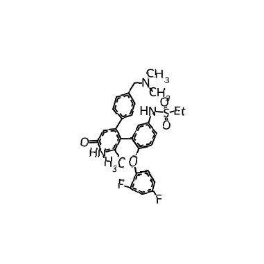 CCS(=O)(=O)Nc1ccc(Oc2ccc(F)cc2F)c(-c2c(-c3ccc(CN(C)C)cc3)cc(=O)[nH]c2C)c1